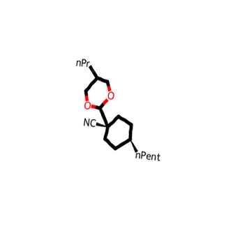 CCCCC[C@H]1CC[C@](C#N)(C2OCC(CCC)CO2)CC1